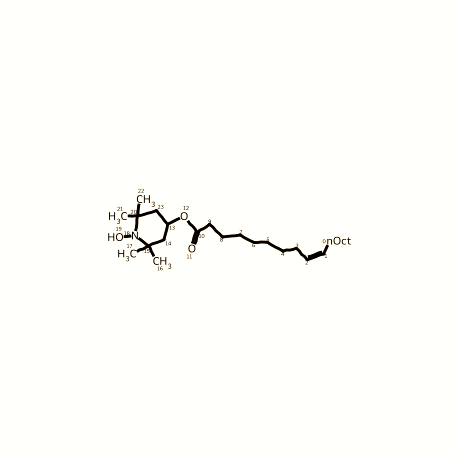 CCCCCCCC/C=C\CCCCCCCC(=O)OC1CC(C)(C)N(O)C(C)(C)C1